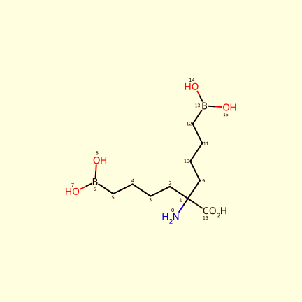 NC(CCCCB(O)O)(CCCCB(O)O)C(=O)O